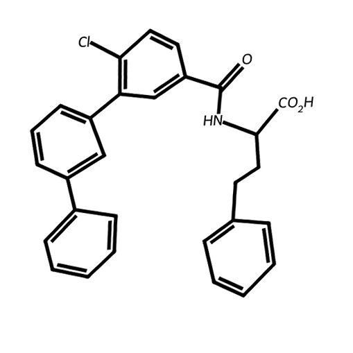 O=C(NC(CCc1ccccc1)C(=O)O)c1ccc(Cl)c(-c2cccc(-c3ccccc3)c2)c1